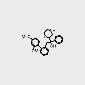 COc1ccc(-c2ccccc2CC(O)(c2ccccc2)C2CNCCO2)c(OC)c1